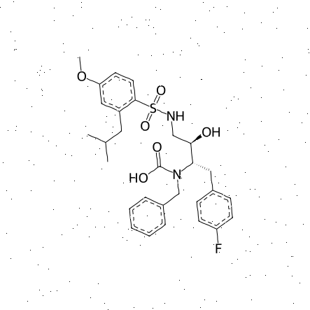 COc1ccc(S(=O)(=O)NC[C@@H](O)[C@H](Cc2ccc(F)cc2)N(Cc2ccccc2)C(=O)O)c(CC(C)C)c1